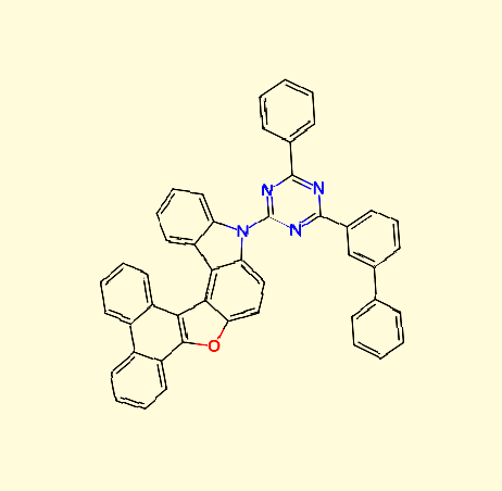 c1ccc(-c2cccc(-c3nc(-c4ccccc4)nc(-n4c5ccccc5c5c6c(ccc54)oc4c5ccccc5c5ccccc5c46)n3)c2)cc1